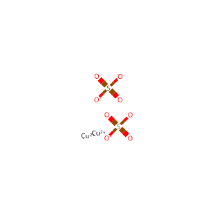 O=S(=O)([O-])[O-].O=S(=O)([O-])[O-].[Cu+2].[Cu+2]